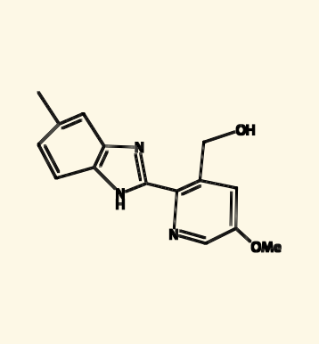 COc1cnc(-c2nc3cc(C)ccc3[nH]2)c(CO)c1